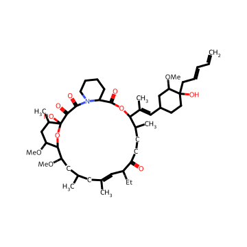 C=CC=CCC1(O)CCC(C=C(C)C2OC(=O)C3CCCCN3C(=O)C(=O)C3(O)OC(C(OC)CC(C)C/C(C)=C/C(CC)C(=O)CCC2C)C(OC)CC3C)CC1OC